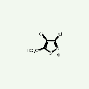 O=C(O)c1snc(Cl)c1Cl.[KH]